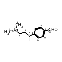 C[As](C)CCNc1ccc(C=O)cc1